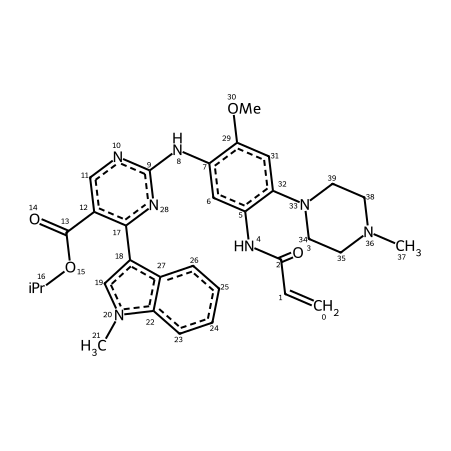 C=CC(=O)Nc1cc(Nc2ncc(C(=O)OC(C)C)c(-c3cn(C)c4ccccc34)n2)c(OC)cc1N1CCN(C)CC1